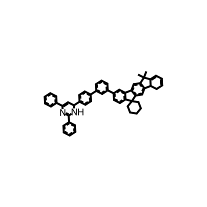 CC1(C)C2=CC=CCC2c2cc3c(cc21)-c1cc(-c2cccc(-c4ccc(C5C=C(c6ccccc6)N=C(c6ccccc6)N5)cc4)c2)ccc1C31CCCCC1